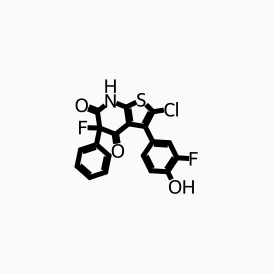 O=C1Nc2sc(Cl)c(-c3ccc(O)c(F)c3)c2C(=O)C1(F)c1ccccc1